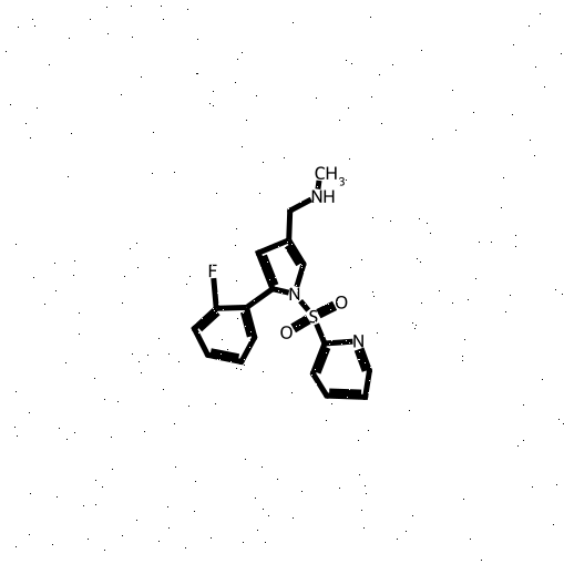 CNCc1cc(-c2ccccc2F)n(S(=O)(=O)c2ccccn2)c1